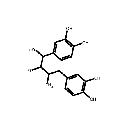 CCCC(c1ccc(O)c(O)c1)C(CC)C(C)Cc1ccc(O)c(O)c1